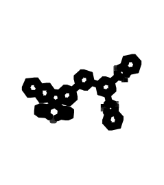 c1cc(-c2cc(-c3nc4ccccc4s3)cc(-c3nc4ccccc4s3)c2)cc(-c2ccc3c(c2)-c2cc4ccccc4cc2C32c3ccccc3Oc3ccccc32)c1